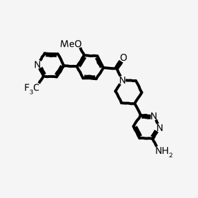 COc1cc(C(=O)N2CCC(c3ccc(N)nn3)CC2)ccc1-c1ccnc(C(F)(F)F)c1